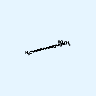 CCCCCCCCCCCCCCCCOCCCOC(O)CC